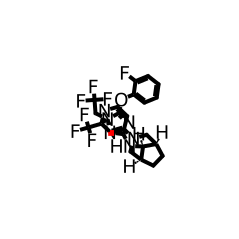 Fc1ccccc1Oc1nc(N[C@H]2[C@@H]3CC[C@H]2CN(c2ccnc(C(F)(F)F)c2)C3)nn1CC(F)(F)F